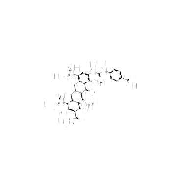 CC(=O)c1ccc(NC(=O)Nc2cc(N(C)C)c3c(c2O)C(=O)C2=C(O)C4(O)C(=O)C(C(N)=O)=C(O)C(N(C)C)C4CC2C3)cc1